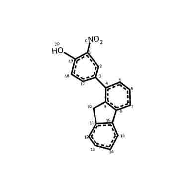 O=[N+]([O-])c1cc(-c2cccc3c2Cc2ccccc2-3)ccc1O